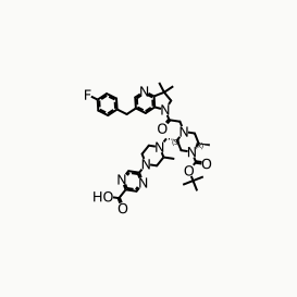 CC1CN(c2cnc(C(=O)O)cn2)CCN1C[C@H]1CN(C(=O)OC(C)(C)C)[C@H](C)CN1CC(=O)N1CC(C)(C)c2ncc(Cc3ccc(F)cc3)cc21